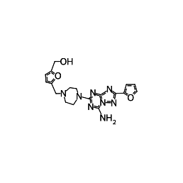 Nc1nc(N2CCN(Cc3ccc(CO)o3)CC2)nc2nc(-c3ccco3)nn12